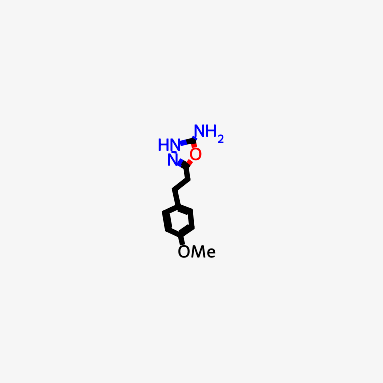 COc1ccc(CCC2=NNC(N)O2)cc1